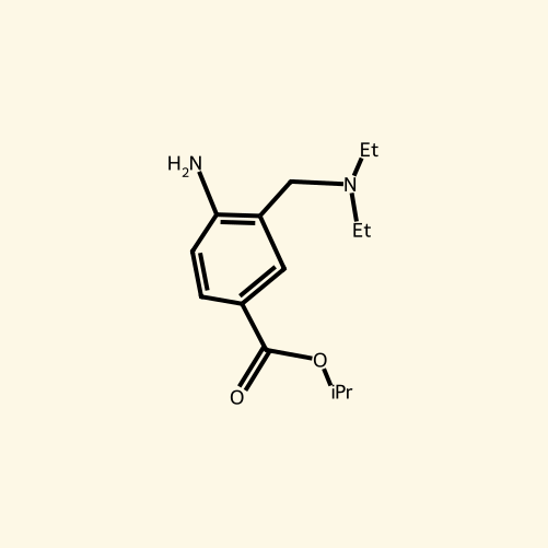 CCN(CC)Cc1cc(C(=O)OC(C)C)ccc1N